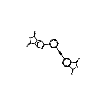 O=C1OC(=O)c2cc(C#Cc3cccc(C4=CC5CC4C4C(=O)OC(=O)C54)c3)ccc21